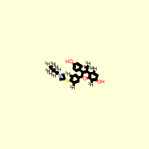 [2H]c1cc(C2Oc3c([2H])c(O)cc([2H])c3C(C([2H])([2H])[2H])=C2c2ccc(O)cc2)cc([2H])c1SC1CN(C([2H])([2H])C([2H])([2H])C([2H])([2H])[2H])C1